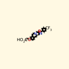 Cc1nc(-c2ccc(C(F)(F)F)cc2)oc1CN1CCc2ccc(OCC(=O)O)cc2CC1